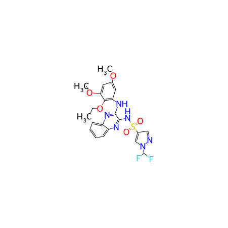 CCOc1c(Nc2nc3ccccc3nc2NS(=O)(=O)c2cnn(C(F)F)c2)cc(OC)cc1OC